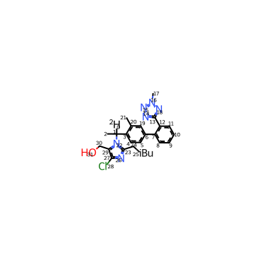 [2H]C(C)(c1ccc(-c2ccccc2-c2nnn(C)n2)cc1C)n1c(CC(C)CC)nc(Cl)c1CO